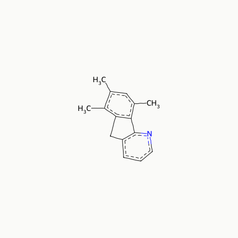 Cc1cc(C)c2c(c1C)Cc1cccnc1-2